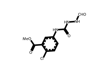 COC(=O)c1cc(NC(=O)NNC=O)ccc1Cl